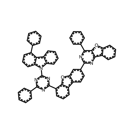 c1ccc(-c2nc(-c3cccc4c3oc3cc(-c5nc(-c6ccccc6)c6oc7ccccc7c6n5)ccc34)nc(-n3c4ccccc4c4c(-c5ccccc5)cccc43)n2)cc1